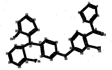 O=C(c1ccccc1)c1ccc(Sc2ccc([S+](c3ccccc3F)c3ccccc3F)cc2)cc1Cl